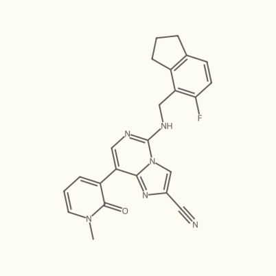 Cn1cccc(-c2cnc(NCc3c(F)ccc4c3CCC4)n3cc(C#N)nc23)c1=O